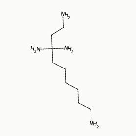 NCCCCCCC(N)(N)CCN